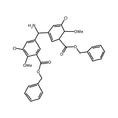 COc1c(Cl)cc(C(N)C2=CC(C(=O)OCc3ccccc3)C(OC)C(Cl)=C2)cc1C(=O)OCc1ccccc1